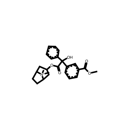 COC(=O)c1cccc(C(O)(C(=O)OC2CC3CCC(C2)[N+]3(C)C)c2ccccc2)c1